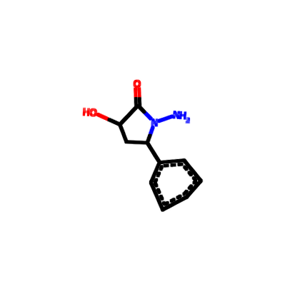 NN1C(=O)C(O)CC1c1ccccc1